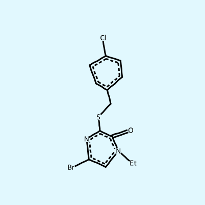 CCn1cc(Br)nc(SCc2ccc(Cl)cc2)c1=O